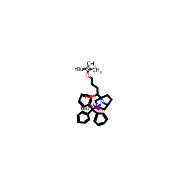 CC(C)(C)OC(=O)N1C2CCC1(C(O)CCCO[Si](C)(C)C(C)(C)C)CN(C(c1ccccc1)(c1ccccc1)c1ccccc1)C2